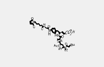 CCC(C)CC(=O)N(CC)C(CC(OC(C)=O)c1nc(C(=O)N[C@H](CCC(=O)O)Cc2ccc(NC(=O)CNC(=O)CCCCCN3C(=O)C=CC3=O)cc2)cs1)C(C)C